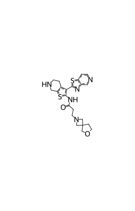 O=C(CCN1CC2(CCOC2)C1)Nc1sc2c(c1-c1nc3cnccc3s1)CCNC2